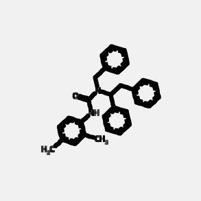 Cc1ccc(NC(=O)N(Cc2ccccc2)C(Cc2ccccc2)c2ccccc2)c(C)c1